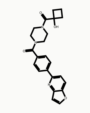 O=C(c1ccc(-c2ccc3occc3n2)cc1)N1CCN(C(=O)C2(O)CCC2)CC1